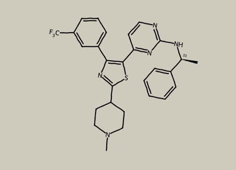 C[C@H](Nc1nccc(-c2sc(C3CCN(C)CC3)nc2-c2cccc(C(F)(F)F)c2)n1)c1ccccc1